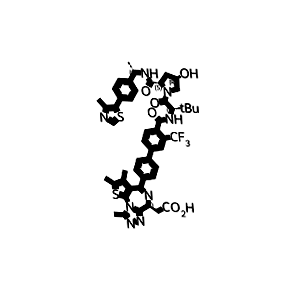 Cc1ncsc1-c1ccc([C@H](C)NC(=O)[C@@H]2C[C@@H](O)CN2C(=O)[C@@H](NC(=O)c2ccc(-c3ccc(C4=N[C@@H](CC(=O)O)c5nnc(C)n5-c5sc(C)c(C)c54)cc3)cc2C(F)(F)F)C(C)(C)C)cc1